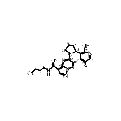 O=C(NCCCCl)c1cnn2ccc(N3CCCC3c3cc(F)cnc3O)nc12